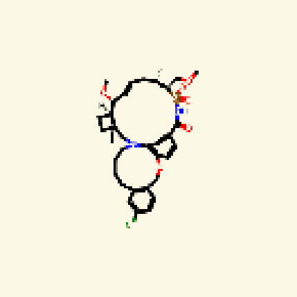 COC[C@@H]1[C@@H](C)C/C=C/[C@H](OC)[C@@H]2CC[C@H]2CN2CCCCc3cc(Cl)ccc3COc3ccc(cc32)C(=O)NS1(=O)=O